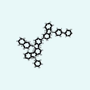 c1ccc(-c2ccc(-n3c4ccccc4c4cc(-c5ccc6c(c5)c5ccc7c(c8ccccc8n7-c7ccccc7)c5n6-c5ccc6ccccc6c5)ccc43)cc2)cc1